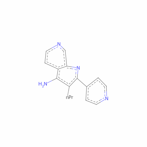 CCCc1c(-c2ccncc2)nc2cnccc2c1N